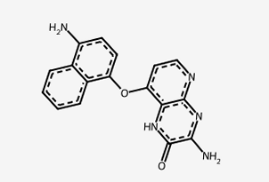 Nc1nc2nccc(Oc3ccc(N)c4ccccc34)c2[nH]c1=O